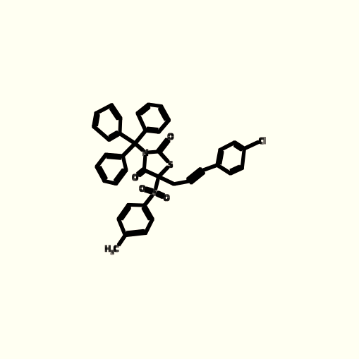 Cc1ccc(S(=O)(=O)C2(CC#Cc3ccc(Cl)cc3)SC(=O)N(C(c3ccccc3)(c3ccccc3)c3ccccc3)C2=O)cc1